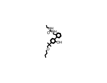 CCCCOCC(C)(C)c1ccc(-c2ccccc2CNC(=O)NCC)c(O)c1